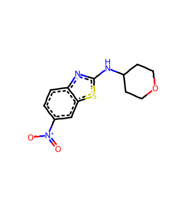 O=[N+]([O-])c1ccc2nc(NC3CCOCC3)sc2c1